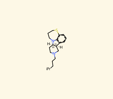 CC(C)CCCN1CC[C@@H]2[C@H](C1)c1cccc3c1N2CCCS3